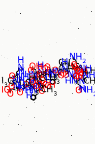 CC(C)C[C@H](NC(=O)[C@H](Cc1ccc(O)cc1)NC(=O)[C@H](CO)NC(=O)[C@@H](NC(=O)[C@H](CC(=O)O)NC(=O)[C@H](CO)NC(=O)[C@@H](NC(=O)[C@H](Cc1ccccc1)NC(=O)[C@@H](NC(=O)CNC(=O)[C@H](CCC(=O)O)NC(=O)[C@H](C)NC(=O)[C@@H](N)Cc1c[nH]cn1)[C@@H](C)O)[C@@H](C)O)C(C)C)C(=O)N[C@@H](CCC(=O)O)C(=O)NCC(=O)N[C@@H](CCC(N)=O)C(=O)N[C@@H](C)C(=O)N[C@@H](C)C(=O)N[C@@H](CCCCN)C(=O)O